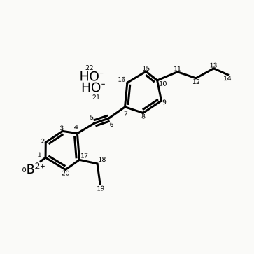 [B+2]c1ccc(C#Cc2ccc(CCCC)cc2)c(CC)c1.[OH-].[OH-]